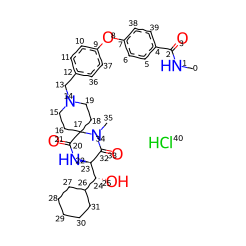 CNC(=O)c1ccc(Oc2ccc(CN3CCC4(CC3)C(=O)N[C@H]([C@H](O)C3CCCCC3)C(=O)N4C)cc2)cc1.Cl